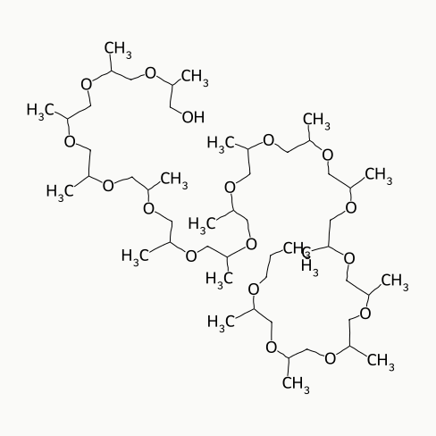 CCCOC(C)COC(C)COC(C)COC(C)COC(C)COC(C)COC(C)COC(C)COC(C)COC(C)COC(C)COC(C)COC(C)COC(C)COC(C)COC(C)CO